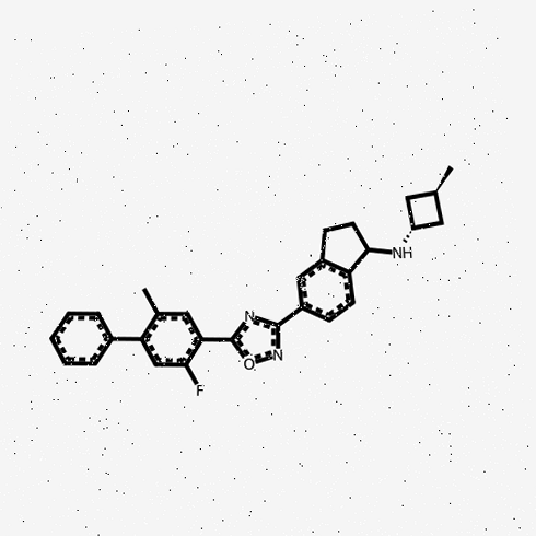 Cc1cc(-c2nc(-c3ccc4c(c3)CCC4N[C@H]3C[C@H](C)C3)no2)c(F)cc1-c1ccccc1